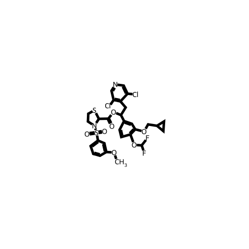 COc1cccc(S(=O)(=O)N2CCSC2C(=O)OC(Cc2c(Cl)cncc2Cl)c2ccc(OC(F)F)c(OCC3CC3)c2)c1